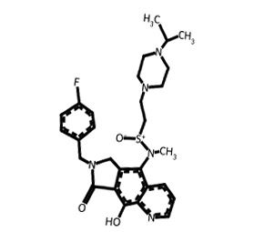 CC(C)N1CCN(CC[S+]([O-])N(C)c2c3c(c(O)c4ncccc24)C(=O)N(Cc2ccc(F)cc2)C3)CC1